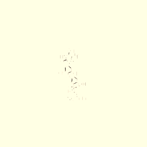 CCCC(C#N)CNS(=O)(=O)c1cc(Oc2c(Cl)cc(-n3nc(C(F)F)c(=O)[nH]c3=O)cc2Cl)ccc1O